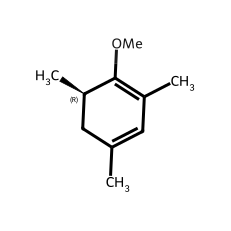 COC1=C(C)C=C(C)C[C@H]1C